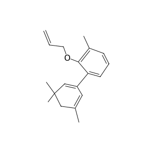 C=CCOc1c(C)cccc1C1=CC(C)(C)CC(C)=C1